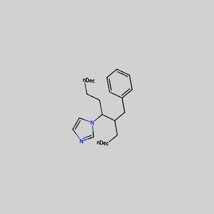 CCCCCCCCCCCCC(C(CCCCCCCCCCC)Cc1ccccc1)n1ccnc1